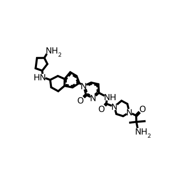 CC(C)(N)C(=O)N1CCN(C(=O)Nc2ccn(-c3ccc4c(c3)CCC(NC3CCC(N)C3)C4)c(=O)n2)CC1